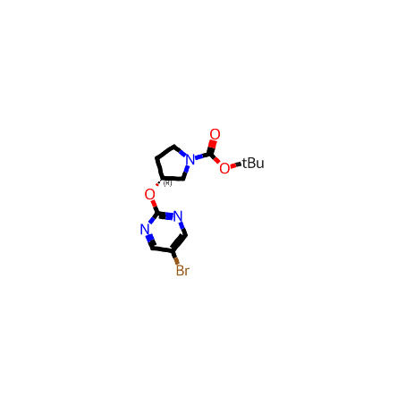 CC(C)(C)OC(=O)N1CC[C@@H](Oc2ncc(Br)cn2)C1